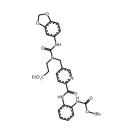 CCOC(=O)CCN(Cc1ccc(C(=O)Nc2ccccc2NC(=O)OC(C)(C)C)nc1)C(=O)Nc1ccc2c(c1)OCO2